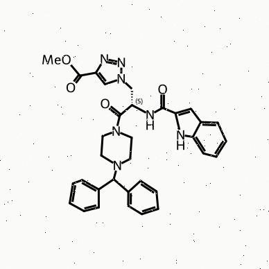 COC(=O)c1cn(C[C@H](NC(=O)c2cc3ccccc3[nH]2)C(=O)N2CCN(C(c3ccccc3)c3ccccc3)CC2)nn1